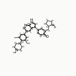 Cc1cc(-c2cc3c(-c4ccc(=O)n(CC5CCCN5C)c4)c[nH]c3nn2)cc(C)c1N1CCN(C)CC1